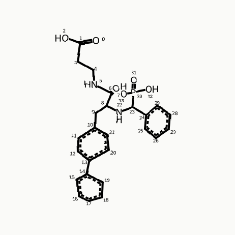 O=C(O)CCNC(=O)C(Cc1ccc(-c2ccccc2)cc1)NC(c1ccccc1)P(=O)(O)O